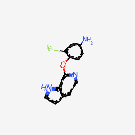 Nc1ccc(Oc2nccc3cc[nH]c23)c(F)c1